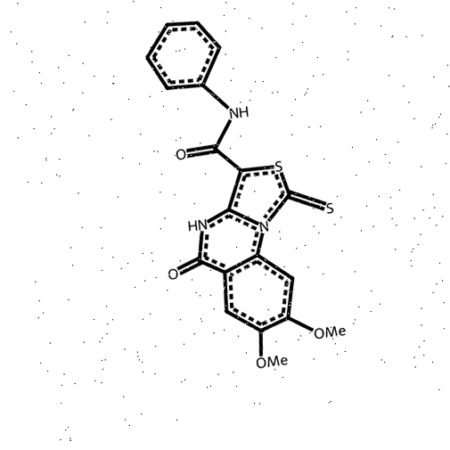 COc1cc2c(=O)[nH]c3c(C(=O)Nc4ccccc4)sc(=S)n3c2cc1OC